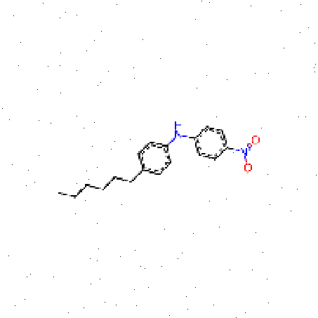 CCCCCCc1ccc(Nc2ccc([N+](=O)[O-])cc2)cc1